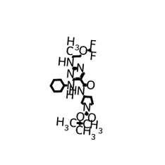 C[C@@H](COC(F)F)Nc1ncc(C(=O)N[C@H]2CCN(C(=O)OC(C)(C)C)C2)c(NC2CCCCC2)n1